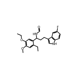 CCOc1cc(C(CCc2c[nH]c3ccc(F)cc23)NC=O)c(CC)cc1OC